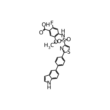 COc1cc(C(=O)O)c(F)cc1NS(=O)(=O)c1csc(-c2ccc(-c3ccc4[nH]ccc4c3)cc2)n1